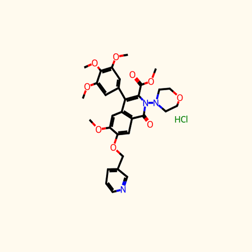 COC(=O)c1c(-c2cc(OC)c(OC)c(OC)c2)c2cc(OC)c(OCc3cccnc3)cc2c(=O)n1N1CCOCC1.Cl